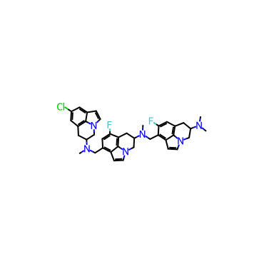 CN(C)C1Cc2cc(F)c(CN(C)C3Cc4c(F)cc(CN(C)C5Cc6cc(Cl)cc7ccn(c67)C5)c5ccn(c45)C3)c3ccn(c23)C1